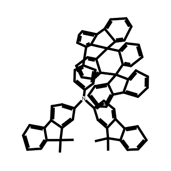 CC1(C)c2ccccc2-c2ccc(N(c3ccc(-c4cccc5c4C4(c6ccccc6-5)c5ccccc5C5(c6ccccc6-c6ccccc65)c5ccccc54)cc3)c3ccc4c(c3)C(C)(C)c3ccccc3-4)cc21